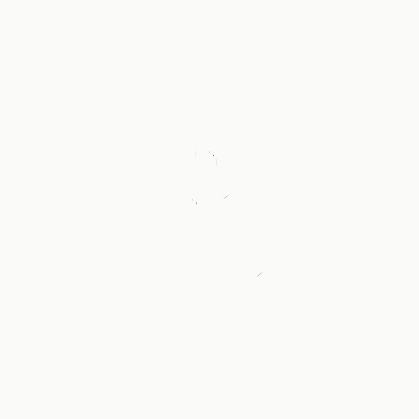 CCCCCCCCCC(=O)O.CCCCCCCCCC(=O)O.NC1CCCCC1.[NH2][Pt]